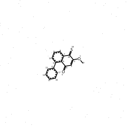 COC1=CC(=O)c2c(cccc2-c2ccccc2)C1=S